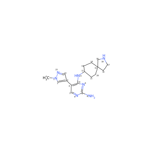 Cn1cc(-c2cnc(N)nc2NC2CCC3(CCNC3)CC2)cn1